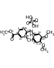 COC(=O)c1cnc(Nc2ccc(OC)c(OC)c2)[n+](C)c1.O=S(=O)(O)O